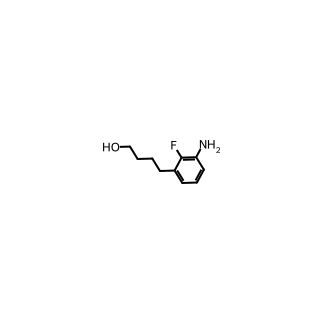 Nc1cccc(CCCCO)c1F